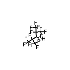 OC(C(F)(C(F)(F)F)C(F)(F)F)C(F)(C(F)(F)F)C(F)(F)F